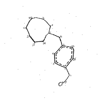 ClCc1ccc(CC2CCCCCCC2)cc1